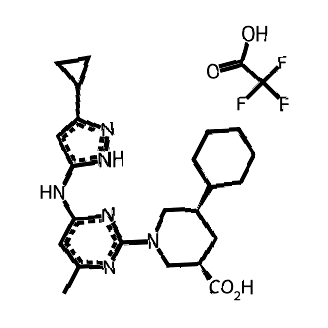 Cc1cc(Nc2cc(C3CC3)n[nH]2)nc(N2C[C@H](C(=O)O)C[C@H](C3CCCCC3)C2)n1.O=C(O)C(F)(F)F